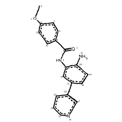 COc1ccc(C(=O)Nc2cc(-c3cccnc3)ccc2N)cc1